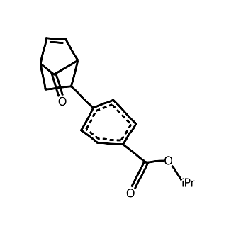 CC(C)OC(=O)c1ccc(C2CC3C=CC2C3=O)cc1